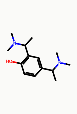 CC(c1ccc(O)c(C(C)N(C)C)c1)N(C)C